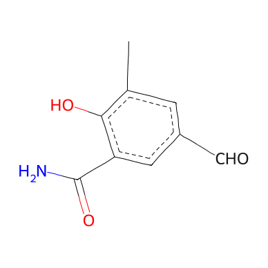 Cc1cc(C=O)cc(C(N)=O)c1O